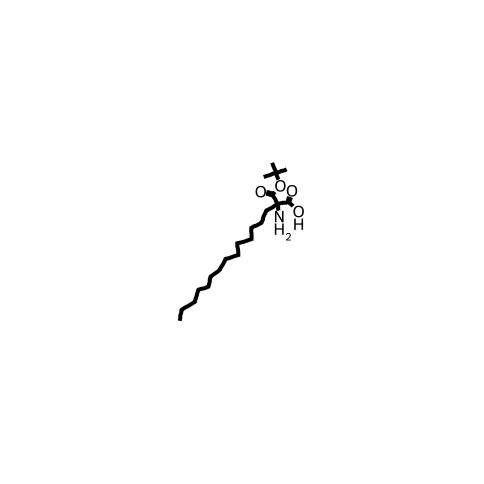 CCCCCCCCCCCCCCC(N)(C(=O)O)C(=O)OC(C)(C)C